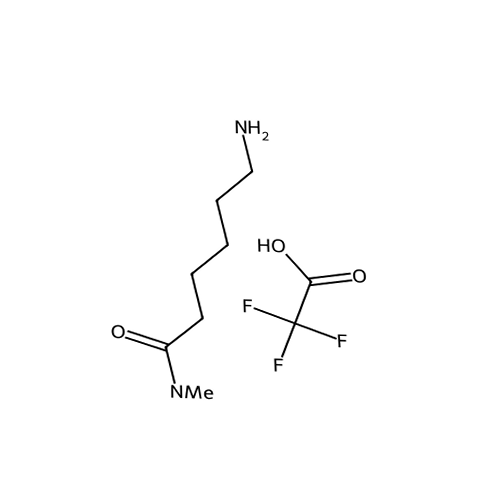 CNC(=O)CCCCCN.O=C(O)C(F)(F)F